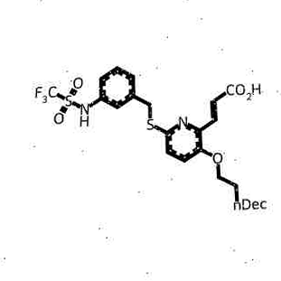 CCCCCCCCCCCCOc1ccc(SCc2cccc(NS(=O)(=O)C(F)(F)F)c2)nc1C=CC(=O)O